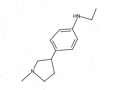 CCNc1ccc(C2CCN(C)C2)cc1